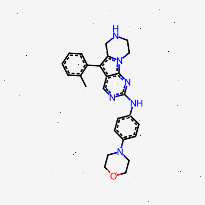 Cc1ccccc1-c1c2n(c3nc(Nc4ccc(N5CCOCC5)cc4)ncc13)CCNC2